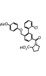 COc1ccc(OCc2ccc(C(=O)N3CCCC3C(=O)O)cc2-c2ccccc2Cl)cc1